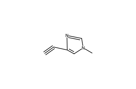 C#Cc1cn(C)cn1